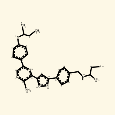 CCC(C)Sc1ccc(-c2cnc(N)c(-c3cc(-c4ccc(CNC(C)CF)cc4)no3)n2)cc1